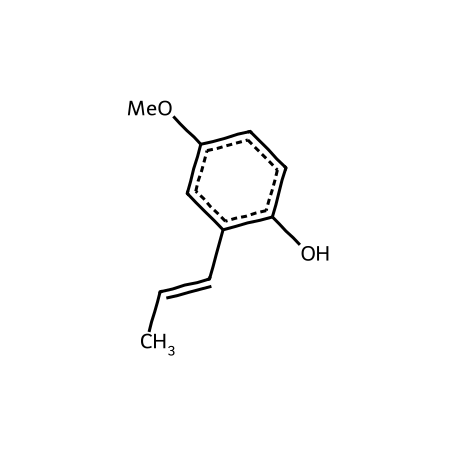 C/C=C/c1cc(OC)ccc1O